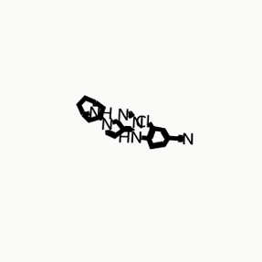 N#Cc1ccc(Nc2ncnc3c2ccn3C2CC3CCC(C2)N3)c(Cl)c1